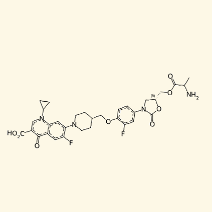 CC(N)C(=O)OC[C@H]1CN(c2ccc(OCC3CCN(c4cc5c(cc4F)c(=O)c(C(=O)O)cn5C4CC4)CC3)c(F)c2)C(=O)O1